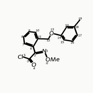 CON=C(C(=O)Cl)c1ccccc1COc1cccc(C)c1